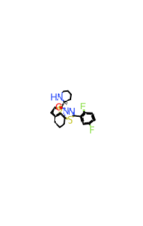 O=C([C@@H]1CCCCN1)N1N=C(c2cc(F)ccc2F)SC12CCCc1ccsc12